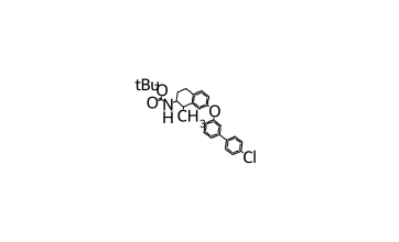 CC1c2cc(Oc3cccc(-c4ccc(Cl)cc4)c3)ccc2CCC1NC(=O)OC(C)(C)C